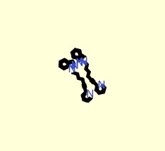 C(#Cc1ccccn1)CCCCn1cc2ccccc2n1.C(#Cc1ccccn1)CCCCn1ncc2ccccc21